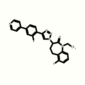 O=C1C(n2cc(-c3ccc(-c4ccncc4)cc3F)nn2)CCc2c(F)cccc2N1CC(F)(F)F